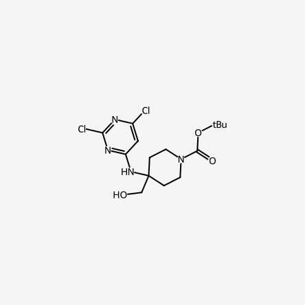 CC(C)(C)OC(=O)N1CCC(CO)(Nc2cc(Cl)nc(Cl)n2)CC1